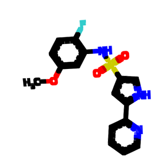 COc1ccc(F)c(NS(=O)(=O)c2c[nH]c(-c3ccccn3)c2)c1